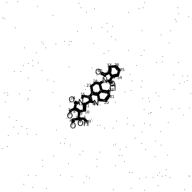 CC[C@@]1(O)C(=O)OCc2c1cc1n(c2=O)Cc2c-1nc1ccc(Cl)c3c1c2CCC3N1C(=O)c2ccccc2C1=O